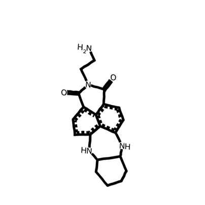 NCCN1C(=O)c2ccc3c4c(ccc(c24)C1=O)NC1CCCCC1N3